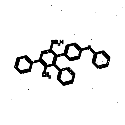 Cc1c(-c2ccccc2)cc(S(=O)(=O)O)c(-c2ccc(Sc3ccccc3)cc2)c1-c1ccccc1